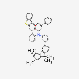 Cc1cc(C)c2c(c1)C(C)(C)c1ccc(-c3cccc(N(c4cccc(-c5ccccc5)c4)c4ccccc4-c4ccc5c(c4)sc4ccccc45)c3)cc1-2